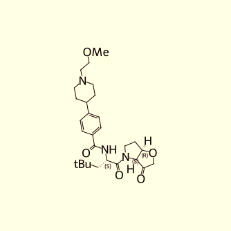 COCCN1CCC(c2ccc(C(=O)N[C@@H](CC(C)(C)C)C(=O)N3CC[C@H]4OCC(=O)[C@H]43)cc2)CC1